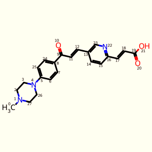 CN1CCN(c2ccc(C(=O)/C=C/c3ccc(/C=C/C(=O)O)nc3)cc2)CC1